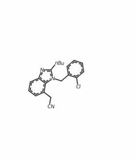 CCCCc1nc2cccc(CC#N)c2n1Cc1ccccc1Cl